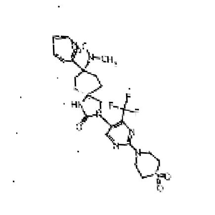 CN(C)[C@]1(c2ccccc2)CC[C@]2(CC1)CN(c1cnc(N3CCS(=O)(=O)CC3)nc1C(F)(F)F)C(=O)N2